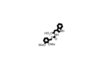 COc1cccc(COC(=O)NC(Cc2c[nH]c3ccccc23)C(=O)O)c1OC